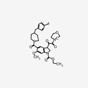 CCOC(=O)N1CC(C(=O)C(=O)N2CCOCC2)c2cc(C(=O)N3CCC(Cc4ccc(F)cc4)CC3)c(OC)cc21